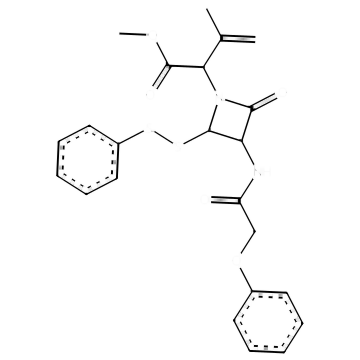 C=C(C)C(C(=O)OC)N1C(=O)C(NC(=O)COc2ccccc2)C1SSc1ccccc1